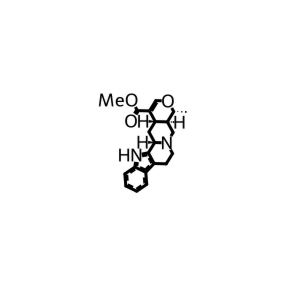 COC(=O)C1=CO[C@H](C)[C@H]2CN3CCc4c([nH]c5ccccc45)[C@@H]3C[C@H]12